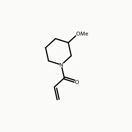 C=CC(=O)N1C[CH]CC(OC)C1